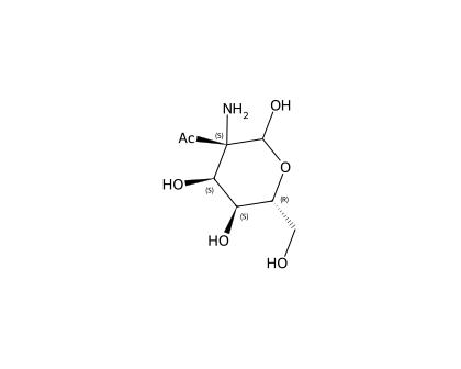 CC(=O)[C@@]1(N)C(O)O[C@H](CO)[C@@H](O)[C@H]1O